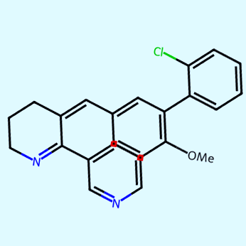 COc1ccc(/C=C2/CCCN=C2c2cccnc2)cc1-c1ccccc1Cl